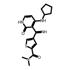 CN(C)C(=O)c1cc(C(=N)c2c(NC3CCCC3)cc[nH]c2=O)cs1